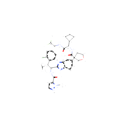 CC(C)[C@@H](c1ccccc1Cl)[C@H](NC(=O)c1ccnn1C)c1nc2ccc(C3(C(=O)N[C@@H](C(=O)NCC(F)F)C4CCC4)CCOC3)cc2[nH]1